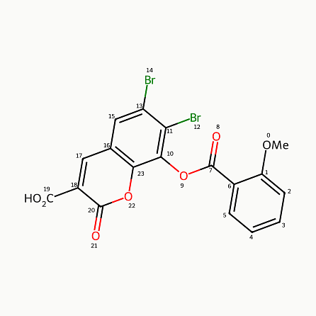 COc1ccccc1C(=O)Oc1c(Br)c(Br)cc2cc(C(=O)O)c(=O)oc12